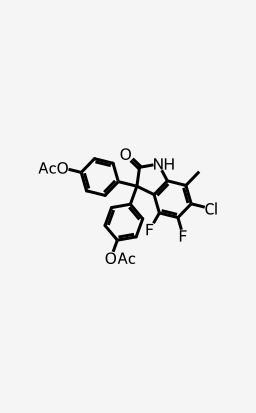 CC(=O)Oc1ccc(C2(c3ccc(OC(C)=O)cc3)C(=O)Nc3c(C)c(Cl)c(F)c(F)c32)cc1